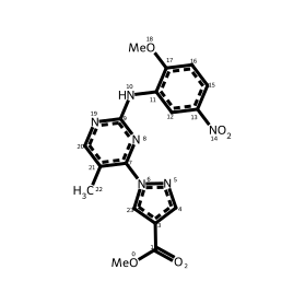 COC(=O)c1cnn(-c2nc(Nc3cc([N+](=O)[O-])ccc3OC)ncc2C)c1